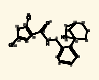 O=C(NCc1ccccc1C12CCCC(CN1)C2)c1cc(Cl)sc1Cl